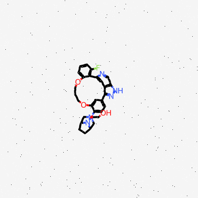 OCCN1C2CCC1CN(c1ccc3cc1OCCCOc1cccc(F)c1-c1cc4c-3n[nH]c4cn1)C2